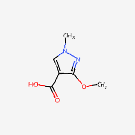 COc1nn(C)cc1C(=O)O